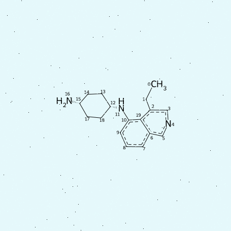 CCc1cncc2cccc(N[C@H]3CC[C@@H](N)CC3)c12